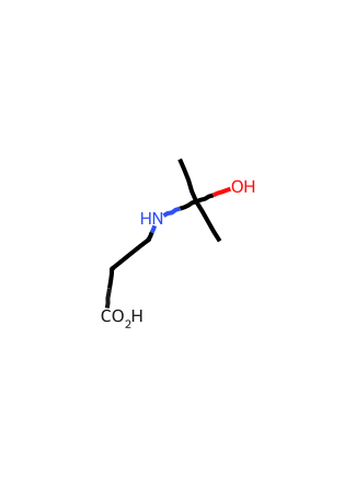 CC(C)(O)NCCC(=O)O